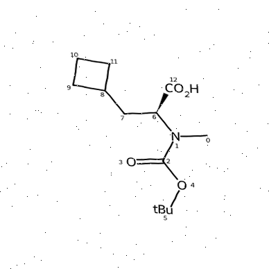 CN(C(=O)OC(C)(C)C)[C@@H](CC1CCC1)C(=O)O